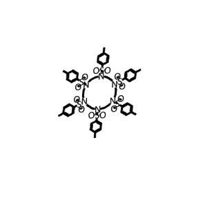 Cc1ccc(S(=O)(=O)N2CCN(S(=O)(=O)c3ccc(C)cc3)CCN(S(=O)(=O)c3ccc(C)cc3)CCN(S(=O)(=O)c3ccc(C)cc3)CCN(S(=O)(=O)c3ccc(C)cc3)CCN(S(=O)(=O)c3ccc(C)cc3)CC2)cc1